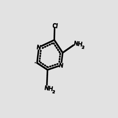 Nc1[c]nc(Cl)c(N)n1